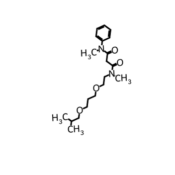 CC(C)COCCCOCCN(C)C(=O)CC(=O)N(C)c1ccccc1